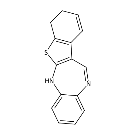 C1=Cc2c(sc3c2C=Nc2ccccc2N3)CC1